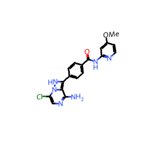 COc1ccnc(NC(=O)c2ccc(-c3[nH]n4c(Cl)cnc(N)c34)cc2)c1